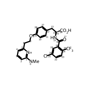 CNc1cccc(CCOc2ccc(C[C@H](NC(=O)c3cc(Cl)ccc3C(F)(F)F)C(=O)O)cc2)n1